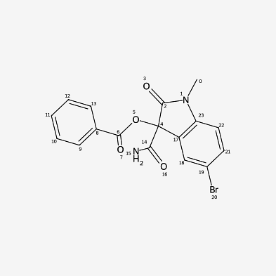 CN1C(=O)C(OC(=O)c2ccccc2)(C(N)=O)c2cc(Br)ccc21